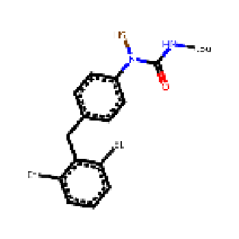 CCc1cccc(CC)c1Cc1ccc(N(S)C(=O)NC(C)(C)C)cc1